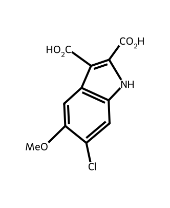 COc1cc2c(C(=O)O)c(C(=O)O)[nH]c2cc1Cl